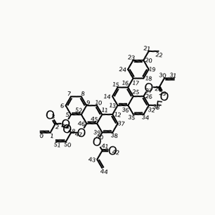 C=CC(=O)Oc1cccc2cc3c(-c4ccc(-c5ccc(CC)cc5)c5c(OC(=O)C=C)c(F)ccc45)ccc(OC(=O)C=C)c3c(OC(=O)C=C)c12